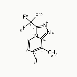 Cc1c(I)ccn2c(C(F)(F)F)nnc12